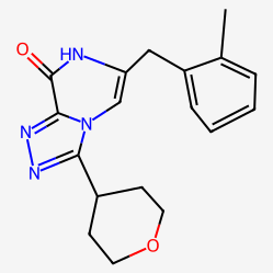 Cc1ccccc1Cc1cn2c(C3CCOCC3)nnc2c(=O)[nH]1